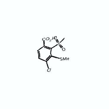 CSc1c(Cl)ccc(C(=O)O)c1S(C)(=O)=O